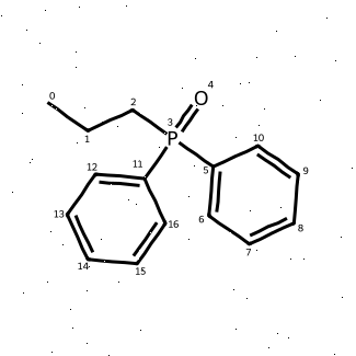 CCCP(=O)(c1ccccc1)c1ccccc1